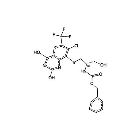 O=C(N[C@@H](CO)CSc1c(Cl)c(C(F)(F)F)cc2c(O)nc(O)nc12)OCc1ccccc1